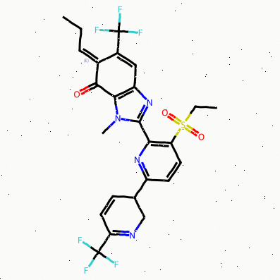 CC/C=C1/C(=O)c2c(nc(-c3nc(C4C=CC(C(F)(F)F)=NC4)ccc3S(=O)(=O)CC)n2C)C=C1C(F)(F)F